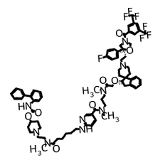 CN(CCN1CCC(OC(=O)Nc2ccccc2-c2ccccc2)CC1)C(=O)CCCCCNc1ccc(C(=O)N(C)CCCN(C)C(=O)CO[C@H]2Cc3ccccc3C23CCN(CC[C@]2(c4ccc(F)cc4)CN(C(=O)c4cc(C(F)(F)F)cc(C(F)(F)F)c4)CO2)CC3)cn1